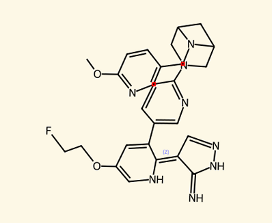 COc1ccc(CN2C3CC2CN(c2ccc(C4=CC(OCCF)=CN/C4=C4/C=NNC4=N)cn2)C3)cn1